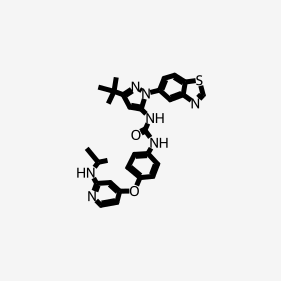 CC(C)Nc1cc(Oc2ccc(NC(=O)Nc3cc(C(C)(C)C)nn3-c3ccc4scnc4c3)cc2)ccn1